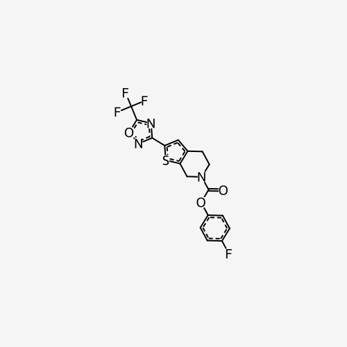 O=C(Oc1ccc(F)cc1)N1CCc2cc(-c3noc(C(F)(F)F)n3)sc2C1